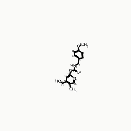 COc1ccc(CNC(=O)Oc2cc(CO)c(C)cn2)cc1